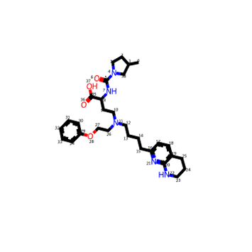 CC1CCN(C(=O)NC(CCN(CCCCc2ccc3c(n2)NCCC3)CCOc2ccccc2)C(=O)O)C1